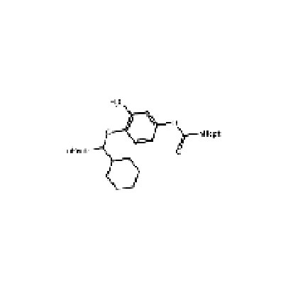 CCCCCCCC(=O)Oc1ccc(OC(CCCCC)C2CCCCC2)c(C)c1